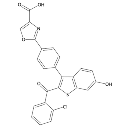 O=C(O)c1coc(-c2ccc(-c3c(C(=O)c4ccccc4Cl)sc4cc(O)ccc34)cc2)n1